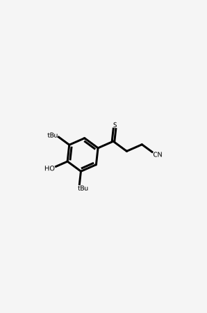 CC(C)(C)c1cc(C(=S)CCC#N)cc(C(C)(C)C)c1O